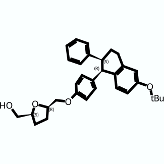 CC(C)(C)Oc1ccc2c(c1)CC[C@H](c1ccccc1)[C@@H]2c1ccc(OC[C@H]2CC[C@@H](CO)O2)cc1